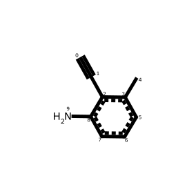 C#Cc1c([CH2])cccc1N